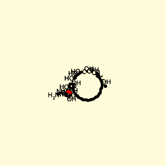 C=C[C@H]1/C=C/C=C/C=C/C=C/C=C/C=C/C=C/[C@H](O[C@@H]2O[C@H](C)[C@@H](ONC(=N)N)C[C@@H]2O)C[C@@H]2O[C@](O)(C[C@@H](O)C[C@@H](O)[C@H](O)CC[C@@H](O)C[C@@H](O)CC(=O)O[C@@H](C)[C@H](C)[C@@H]1O)C[C@H](O)[C@H]2CO